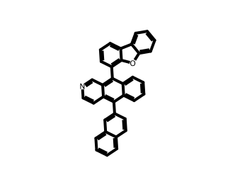 c1ccc2cc(-c3c4ccccc4c(-c4cccc5c4oc4ccccc45)c4cnccc34)ccc2c1